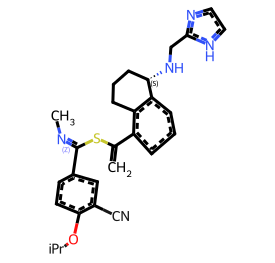 C=C(S/C(=N\C)c1ccc(OC(C)C)c(C#N)c1)c1cccc2c1CCC[C@@H]2NCc1ncc[nH]1